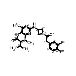 Cc1nc(NC2CN(C(=O)Cc3ccc(F)c(F)c3)C2)nc2c1NC(=O)C(C(C)C)N2C